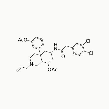 C=CCN1CCC2(c3cccc(OC(C)=O)c3)C[C@H](NC(=O)Cc3ccc(Cl)c(Cl)c3)CC(OC(C)=O)C2C1